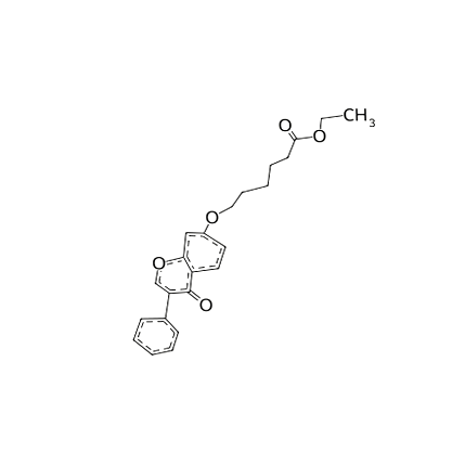 CCOC(=O)CCCCCOc1ccc2c(=O)c(-c3ccccc3)coc2c1